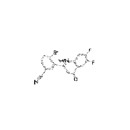 N#Cc1ccc(Br)c(-c2cc(=O)c3cc(F)c(F)cc3[nH]2)c1